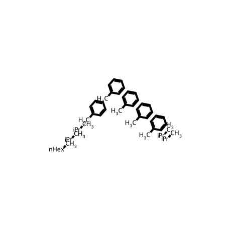 CC(C)C.CC(C)C.CC(C)C.CC(C)C.CCCCCCC.Cc1ccccc1.Cc1ccccc1.Cc1ccccc1.Cc1ccccc1.Cc1ccccc1